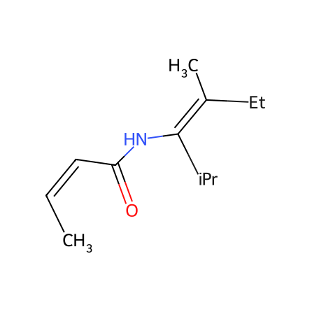 C/C=C\C(=O)N/C(=C(\C)CC)C(C)C